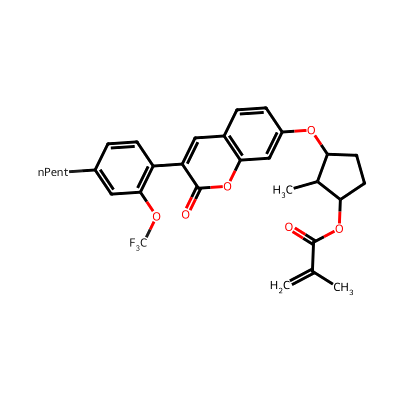 C=C(C)C(=O)OC1CCC(Oc2ccc3cc(-c4ccc(CCCCC)cc4OC(F)(F)F)c(=O)oc3c2)C1C